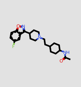 CC(=O)NC1CCC(CCN2CCC(c3noc4ccc(F)cc34)CC2)CC1